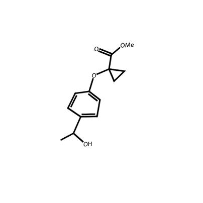 COC(=O)C1(Oc2ccc(C(C)O)cc2)CC1